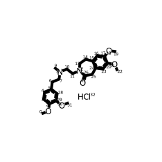 COc1ccc(CCN(C)CCN2CCc3cc(OC)c(OC)cc3CC2=O)cc1OC.Cl